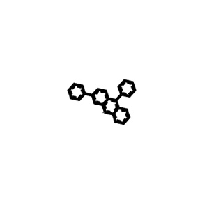 [c]1c2ccccc2c(-c2ccccc2)c2ccc(-c3ccccc3)cc12